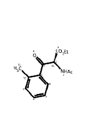 CCOC(=O)[C@@H](NC(C)=O)C(=O)c1ccccc1C